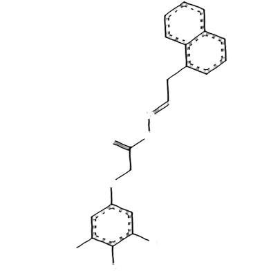 Cc1cc(OCC(=O)O/N=C/Cc2cccc3ccccc23)cc(C)c1Br